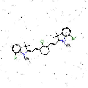 CCCCN1/C(=C/C=C2\CCCC(/C=C/C3=[N+](CCCC)c4c(Br)cccc4C3(C)C)=C2Cl)C(C)(C)c2cccc(Br)c21